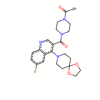 CC(C)C(=O)N1CCN(C(=O)c2cnc3ccc(F)cc3c2N2CCC3(CC2)OCCO3)CC1